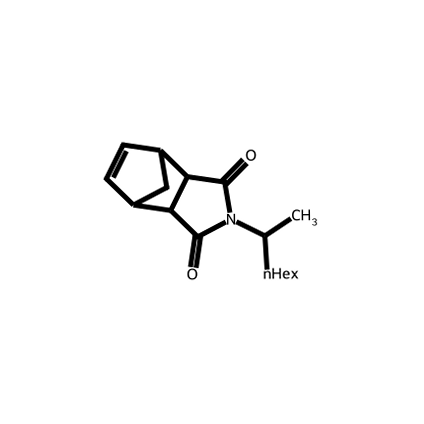 CCCCCCC(C)N1C(=O)C2C3C=CC(C3)C2C1=O